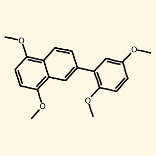 COc1ccc(OC)c(-c2ccc3c(OC)ccc(OC)c3c2)c1